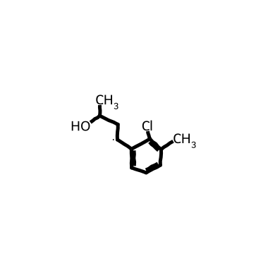 Cc1cccc([CH]CC(C)O)c1Cl